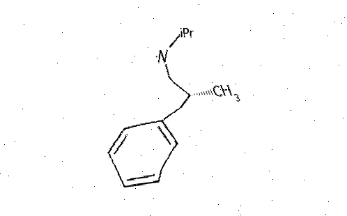 CC(C)[N][C@H](C)c1ccccc1